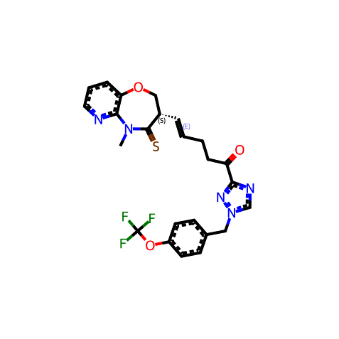 CN1C(=S)[C@@H](/C=C/CCC(=O)c2ncn(Cc3ccc(OC(F)(F)F)cc3)n2)COc2cccnc21